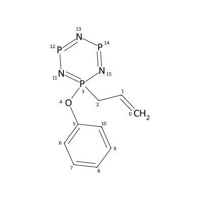 C=CCP1(Oc2ccccc2)=NP=NP=N1